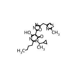 CCCCc1nc(O)c(-c2nnc(Cc3csc(C)n3)o2)c(=O)n1[C@H](C)C1CC1